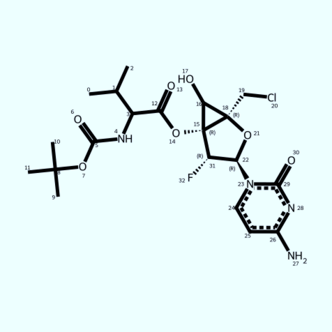 CC(C)C(NC(=O)OC(C)(C)C)C(=O)O[C@]12C(O)[C@@]1(CCl)O[C@@H](n1ccc(N)nc1=O)[C@@H]2F